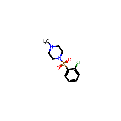 CN1CCN(S(=O)(=O)c2ccccc2Cl)CC1